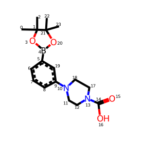 CC1(C)OB(c2cccc(N3CCN(C(=O)O)CC3)c2)OC1(C)C